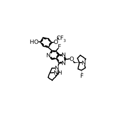 Oc1ccc(OC(F)(F)F)c(-c2ncc3c(N4CC5CCC(C4)N5)nc(OC[C@@]45CCCN4C[C@H](F)C5)nc3c2F)c1